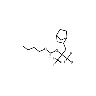 CCCCOC(=O)OC(CC1CC2CCC1C2)(C(F)(F)F)C(F)(F)F